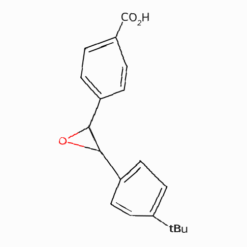 CC(C)(C)c1ccc(C2OC2c2ccc(C(=O)O)cc2)cc1